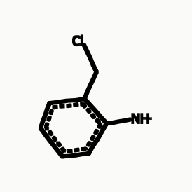 [NH]c1ccccc1CCl